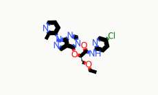 CCOC[C@H](Oc1ncnc2c1cnn2-c1cccnc1C)C(=O)Nc1ccc(Cl)cn1